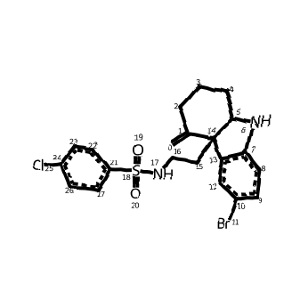 C=C1CCCC2Nc3ccc(Br)cc3C12CCNS(=O)(=O)c1ccc(Cl)cc1